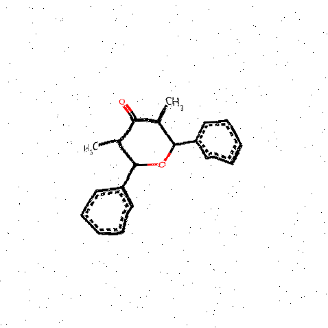 CC1C(=O)C(C)C(c2ccccc2)OC1c1ccccc1